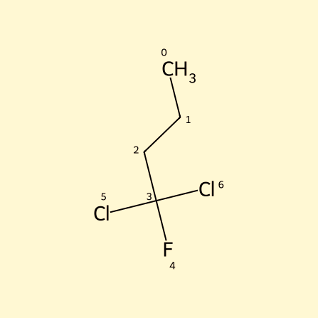 CCCC(F)(Cl)Cl